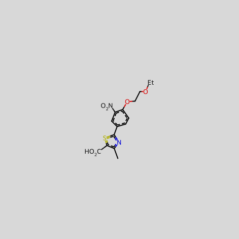 CCOCCOc1ccc(-c2nc(C)c(C(=O)O)s2)cc1[N+](=O)[O-]